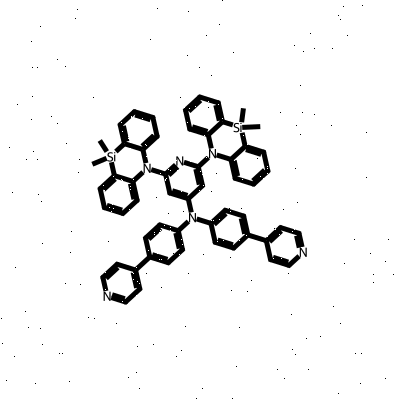 C[Si]1(C)c2ccccc2N(c2cc(N(c3ccc(-c4ccncc4)cc3)c3ccc(-c4ccncc4)cc3)cc(N3c4ccccc4[Si](C)(C)c4ccccc43)n2)c2ccccc21